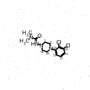 CN(C)C(=O)NN1CCN(c2cccc(Cl)c2Cl)CC1